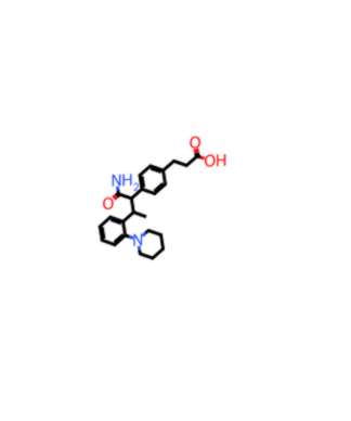 CC(c1ccccc1N1CCCCC1)C(C(N)=O)c1ccc(CCC(=O)O)cc1